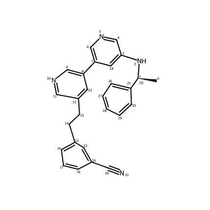 C[C@H](Nc1cncc(-c2cncc(CCc3cccc(C#N)c3)c2)c1)c1ccccc1